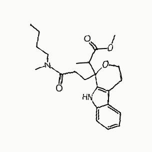 CCCCN(C)C(=O)CCC1(C(C)C(=O)OC)OCCc2c1[nH]c1ccccc21